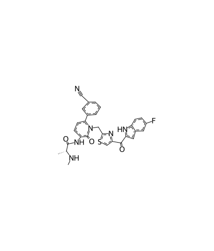 CN[C@H](C)C(=O)Nc1ccc(-c2cccc(C#N)c2)n(Cc2nc(C(=O)c3cc4cc(F)ccc4[nH]3)cs2)c1=O